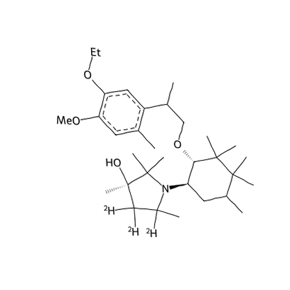 [2H]C1(C)N([C@@H]2CC(C)C(C)(C)C(C)(C)[C@H]2OCC(C)c2cc(OCC)c(OC)cc2C)C(C)(C)[C@](C)(O)C1([2H])[2H]